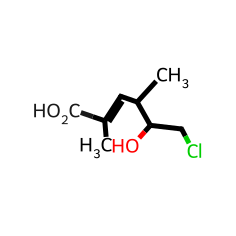 CC(=CC(C)C(O)CCl)C(=O)O